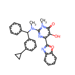 CN(c1nc(-c2nc3ccccc3o2)c(O)c(=O)n1C)C(c1ccccc1)c1cccc(C2CC2)c1